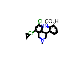 C1CC1.CN1Cc2c(Cl)cc(Cl)cc2C(c2ccccc2NC(=O)O)C1